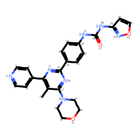 Cc1c(-c2ccncc2)nc(-c2ccc(NC(=O)Nc3ccon3)cc2)nc1N1CCOCC1